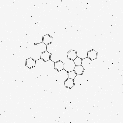 N#Cc1ccccc1-c1cc(-c2ccccc2)cc(-c2ccc(-n3c4ccccc4c4ccc5c(c6ccccc6n5-c5ccccc5)c43)cc2)n1